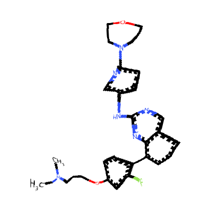 CN(C)CCOc1ccc(-c2cccc3cnc(Nc4ccc(N5CCOCC5)nc4)nc23)c(F)c1